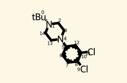 CC(C)(C)N1CCN(c2ccc(Cl)c(Cl)c2)CC1